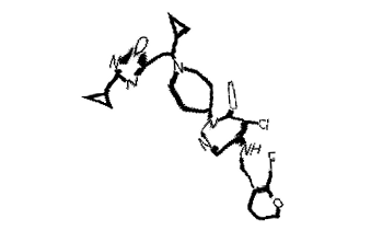 O=c1c(Cl)c(NC[C@@H]2CCCOC2F)cnn1C1CCN(C(c2nc(C3CC3)no2)C2CC2)CC1